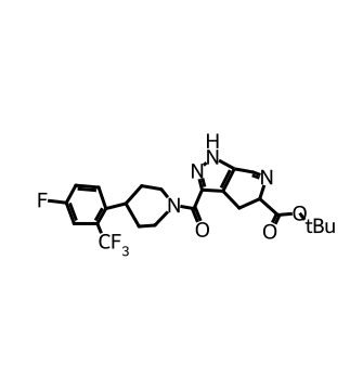 CC(C)(C)OC(=O)C1Cc2c(C(=O)N3CCC(c4ccc(F)cc4C(F)(F)F)CC3)n[nH]c2C=N1